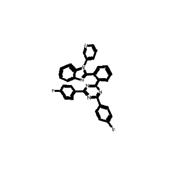 Fc1ccc(-c2nc(-c3ccc(F)cc3)nc(-c3ccccc3-c3nc4ccccc4n3-c3cccnc3)n2)cc1